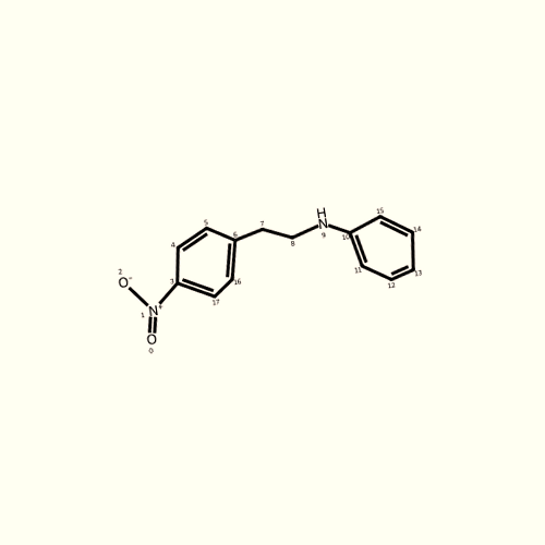 O=[N+]([O-])c1ccc(CCNc2ccccc2)cc1